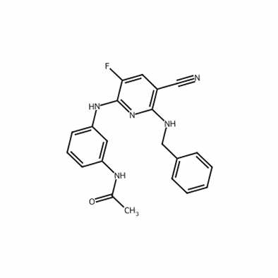 CC(=O)Nc1cccc(Nc2nc(NCc3ccccc3)c(C#N)cc2F)c1